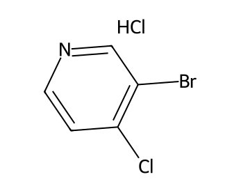 Cl.Clc1ccncc1Br